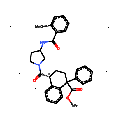 CCCOC(=O)C1(c2ccccc2)CC[C@@H](C(=O)N2CCC(NC(=O)c3ccccc3OC)C2)c2ccccc21